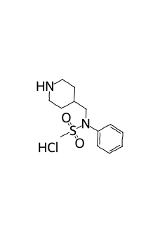 CS(=O)(=O)N(CC1CCNCC1)c1ccccc1.Cl